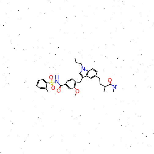 CCCn1cc(Cc2ccc(C(=O)NS(=O)(=O)c3ccccc3C)cc2OC)c2cc(CCC(C)C(=O)N(C)C)ccc21